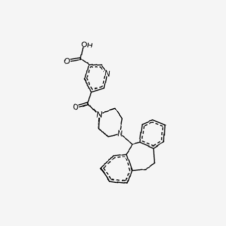 O=C(O)c1cncc(C(=O)N2CCN(C3c4ccccc4CCc4ccccc43)CC2)c1